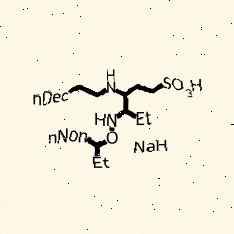 CCCCCCCCCCCCNC(CCS(=O)(=O)O)C(CC)NOC(CC)CCCCCCCCC.[NaH]